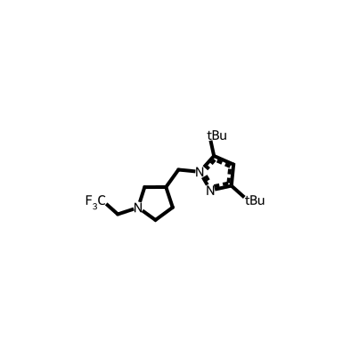 CC(C)(C)c1cc(C(C)(C)C)n(CC2CCN(CC(F)(F)F)C2)n1